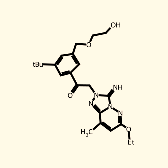 CCOc1cc(C)c2nn(CC(=O)c3cc(COCCO)cc(C(C)(C)C)c3)c(=N)n2n1